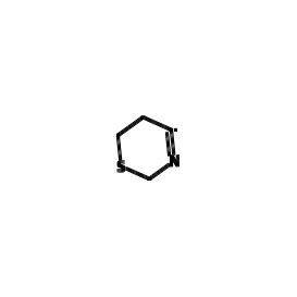 [C]1=NCSCC1